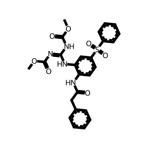 COC(=O)/N=C(/NC(=O)OC)Nc1cc(S(=O)(=O)c2ccccc2)ccc1NC(=O)Cc1ccccc1